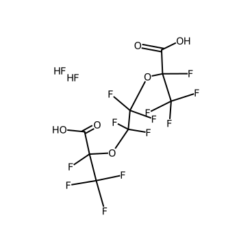 F.F.O=C(O)C(F)(OC(F)(F)C(F)(F)OC(F)(C(=O)O)C(F)(F)F)C(F)(F)F